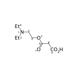 CCN(CC)CCOC(=O)CC(=O)O